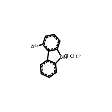 [Cl-].[Cl-].[Cl-].[Zr+3][c]1ccc[c]2c1-c1cccc[c]1[BiH]2